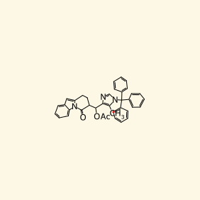 CC(=O)OC(c1ncn(C(c2ccccc2)(c2ccccc2)c2ccccc2)c1C)C1CCc2cc3ccccc3n2C1=O